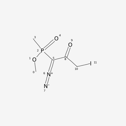 COP(C)(=O)C(=[N+]=[N-])C(=O)CI